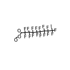 O=COC(=O)C(F)(F)C(F)(F)C(F)(F)C(F)(F)C(F)(F)C(F)(F)C(F)(F)C(F)(F)I